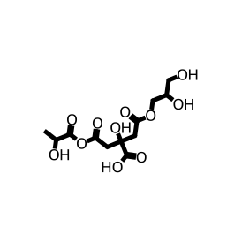 CC(O)C(=O)OC(=O)CC(O)(CC(=O)OCC(O)CO)C(=O)O